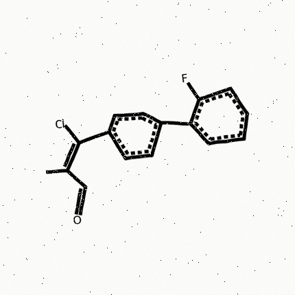 C/C(C=O)=C(\Cl)c1ccc(-c2ccccc2F)cc1